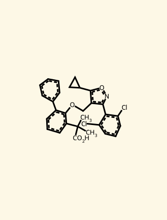 CC(C)(C(=O)O)c1cccc(-c2ccccc2)c1OCc1c(-c2c(Cl)cccc2Cl)noc1C1CC1